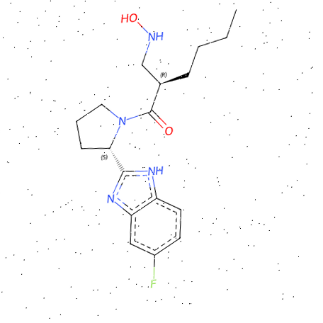 CCCC[C@H](CNO)C(=O)N1CCC[C@H]1c1nc2cc(F)ccc2[nH]1